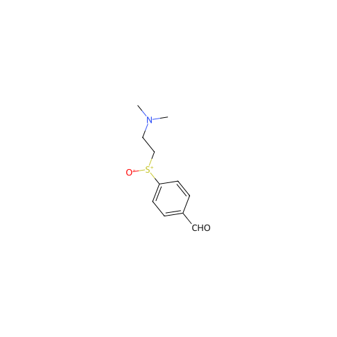 CN(C)CC[S+]([O-])c1ccc(C=O)cc1